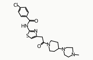 CN1CCN(C2CCN(C(=O)Cc3csc(NC(=O)c4ccc(Cl)cc4)n3)CC2)CC1